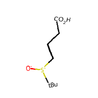 CC(C)(C)[S+]([O-])CCCC(=O)O